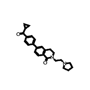 O=C(c1ccc(-c2ccc3c(c2)CCN(CCN2CCCC2)C3=O)cc1)C1CC1